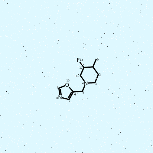 CC1CCN(Cc2cnco2)CC1F